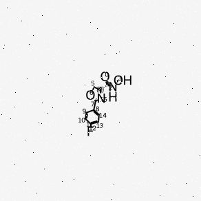 O=C(NO)[C@H]1COC(c2ccc(F)cc2)=N1